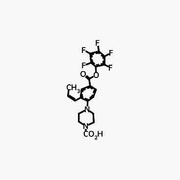 C/C=C\c1cc(C(=O)Oc2c(F)c(F)c(F)c(F)c2F)ccc1N1CCN(C(=O)O)CC1